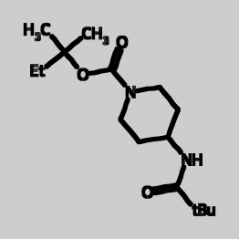 CCC(C)(C)OC(=O)N1CCC(NC(=O)C(C)(C)C)CC1